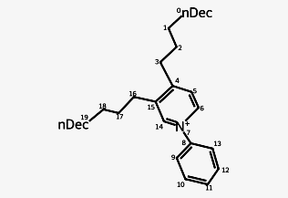 CCCCCCCCCCCCCc1cc[n+](-c2ccccc2)cc1CCCCCCCCCCCCC